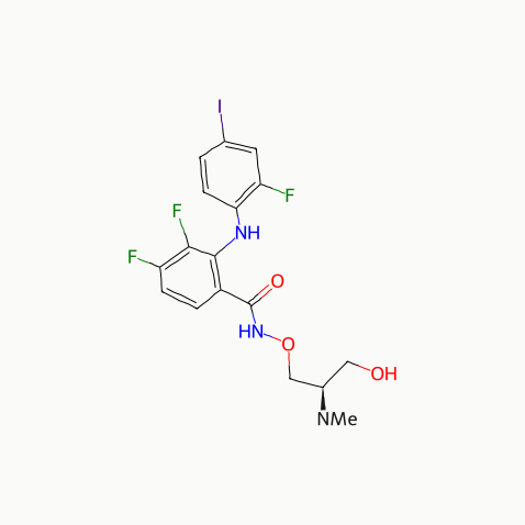 CN[C@H](CO)CONC(=O)c1ccc(F)c(F)c1Nc1ccc(I)cc1F